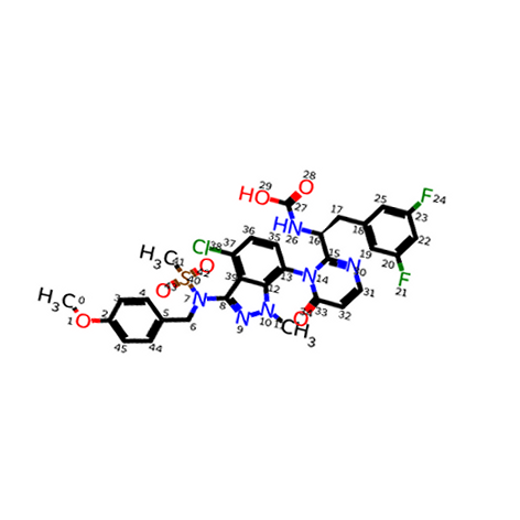 COc1ccc(CN(c2nn(C)c3c(-n4c([C@H](Cc5cc(F)cc(F)c5)NC(=O)O)nccc4=O)ccc(Cl)c23)S(C)(=O)=O)cc1